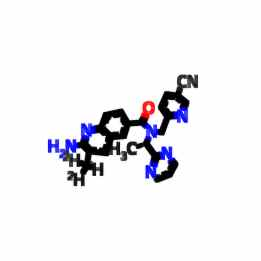 [2H]C([2H])([2H])c1cc2cc(C(=O)N(Cc3ccc(C#N)cn3)[C@H](C)c3ncccn3)ccc2nc1N